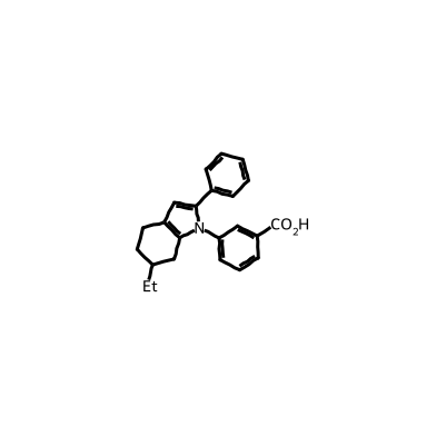 CCC1CCc2cc(-c3ccccc3)n(-c3cccc(C(=O)O)c3)c2C1